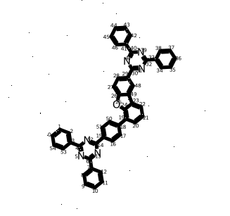 c1ccc(-c2nc(-c3ccccc3)nc(-c3ccc(-c4cccc5c4oc4ccc(-c6nc(-c7ccccc7)nc(-c7ccccc7)n6)cc45)cc3)n2)cc1